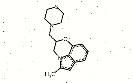 Cc1cc2cccc3c2n1CC(CN1CCSCC1)O3